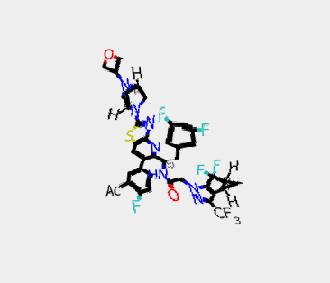 CC(=O)c1cc(-c2cc3sc(N4C[C@@H]5C[C@H]4CN5C4COC4)nc3nc2[C@H](Cc2cc(F)cc(F)c2)NC(=O)Cn2nc(C(F)(F)F)c3c2C(F)(F)[C@@H]2C[C@H]32)ccc1F